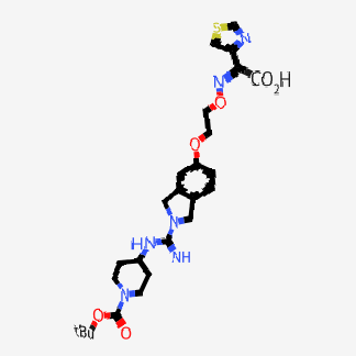 CC(C)(C)OC(=O)N1CCC(NC(=N)N2Cc3ccc(OCCO/N=C(\C(=O)O)c4cscn4)cc3C2)CC1